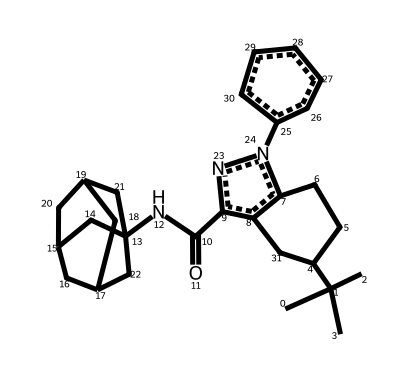 CC(C)(C)C1CCc2c(c(C(=O)NC34CC5CC(CC(C5)C3)C4)nn2-c2ccccc2)C1